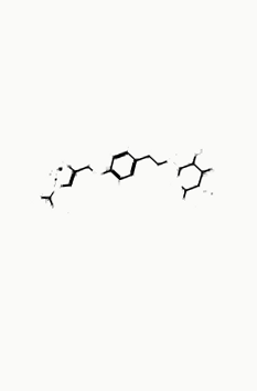 CC1O[C@@H](SCCc2ccc(OCc3cn(C(C)C)nn3)cc2)C(O)C(O)[C@@H]1O